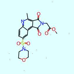 COC(=O)CN1C(=O)c2c(C)nc3ccc(S(=O)(=O)N4CCOCC4)cc3c2C1=O